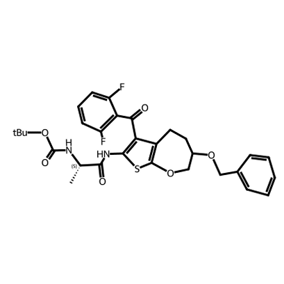 C[C@H](NC(=O)OC(C)(C)C)C(=O)Nc1sc2c(c1C(=O)c1c(F)cccc1F)CCC(OCc1ccccc1)CO2